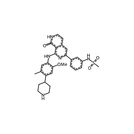 COc1cc(C2CCNCC2)c(C)cc1Nc1nc(-c2cccc(NS(C)(=O)=O)c2)cc2cc[nH]c(=O)c12